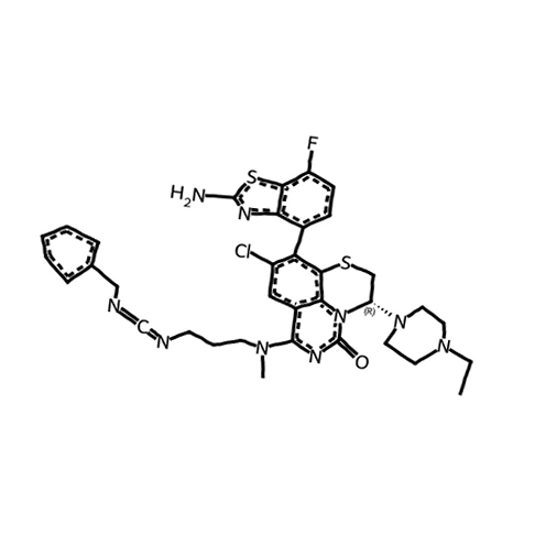 CCN1CCN([C@H]2CSc3c(-c4ccc(F)c5sc(N)nc45)c(Cl)cc4c(N(C)CCCN=C=NCc5ccccc5)nc(=O)n2c34)CC1